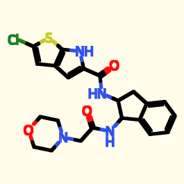 O=C(CN1CCOCC1)NC1c2ccccc2CC1NC(=O)c1cc2cc(Cl)sc2[nH]1